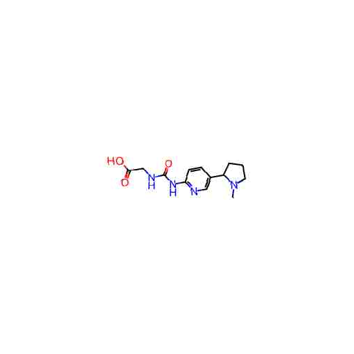 CN1CCCC1c1ccc(NC(=O)NCC(=O)O)nc1